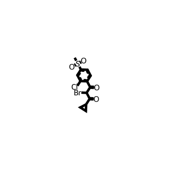 CS(=O)(=O)c1ccc(C(=O)C(Br)C(=O)C2CC2)c(Cl)c1